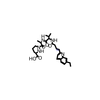 CCc1ccc2ccc(/C=C/CC(=O)NC(C(=O)NC(C)C(=O)N3CCCC(C(=O)O)N3)C(C)C)nc2c1